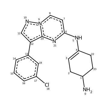 NC1CC=C(Nc2ccn3ncc(-c4cccc(Cl)c4)c3n2)CC1